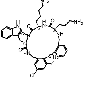 CCN1C(=O)[C@H](CCCCN)NC(=O)[C@H](CCCN)NCC2=C(Sc3c(Cl)cc(Cl)cc3CNC(=O)[C@@H]1Cc1c[nH]c3ccccc13)[SH]=CC=C2